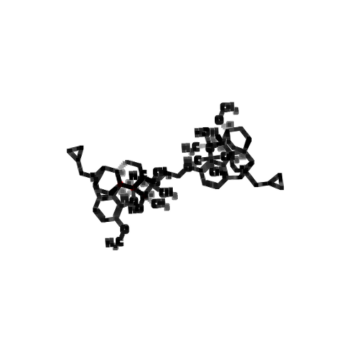 COc1ccc2c3c1O[C@@H]1[C@@]4(OCCOc5ccc6c7c5O[C@H]5C78CCN(CC7CC7)C(C6)[C@]86CC[C@@]5(OC)C([C@](C)(O)C(C)(C)C)C6)CC[C@@]5(C[C@@H]4[C@](C)(O)C(C)(C)C)C(C2)N(CC2CC2)CC[C@]315